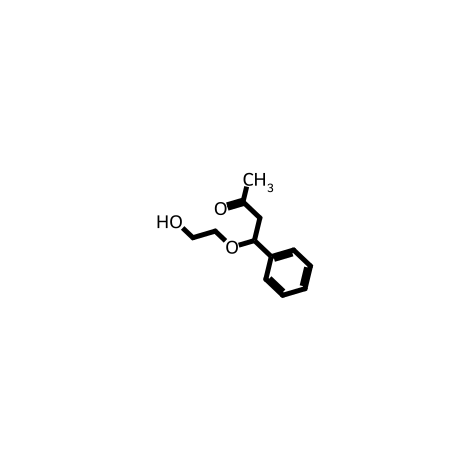 CC(=O)CC(OCCO)c1ccccc1